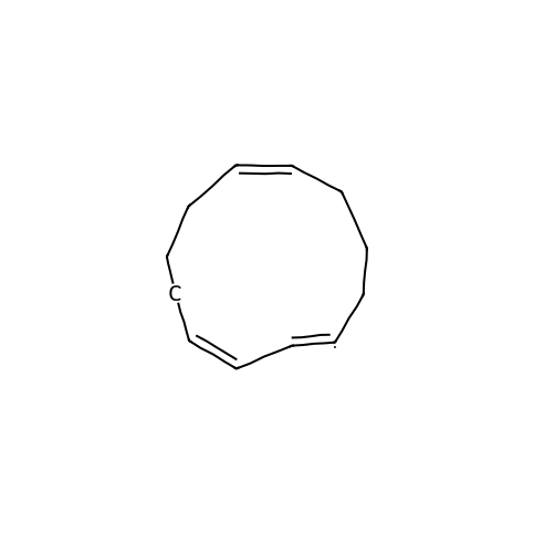 [C]1=C/C=C\CCC/C=C\CCC/1